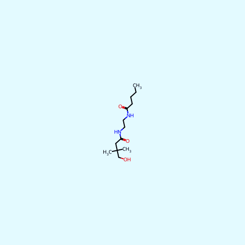 CCCCC(=O)NCCNC(=O)CC(C)(C)CO